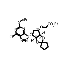 CCCSc1nc(Cl)c2nnn([C@@H]3C[C@H](OCC(=O)OCC)[C@H]4OC5(CCCC5)O[C@H]43)c2n1